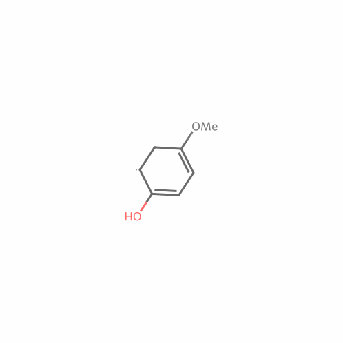 COC1=CC=C(O)[CH]C1